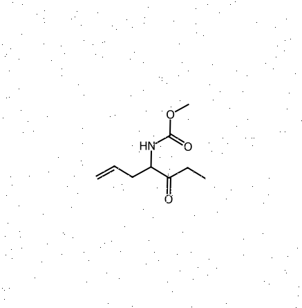 C=CCC(NC(=O)OC)C(=O)CC